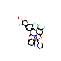 CNC(=O)c1cc2c(c(F)c1-c1c(Cl)c(F)cc3c1C[C@](c1ccccc1)([C@@H]1CCCN1)O3)C[C@H](O)[C@@H]2F